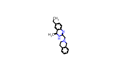 C=C1NC(CN2CCc3ccccc3C2)=Nc2ccc(CC)cc21